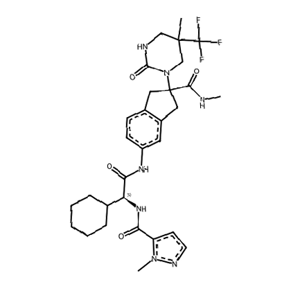 CNC(=O)C1(N2CC(C)(C(F)(F)F)CNC2=O)Cc2ccc(NC(=O)[C@@H](NC(=O)c3ccnn3C)C3CCCCC3)cc2C1